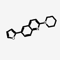 c1coc(-c2ccc3nc(N4CCCCC4)ccc3c2)c1